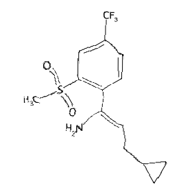 CS(=O)(=O)c1cc(C(F)(F)F)ccc1C(N)=CCC1CC1